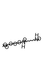 CC(C)(C)OC(=O)CCOCCOCCOCCNC(=O)CCCCCCCNC=O